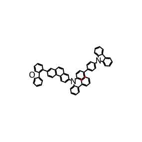 c1ccc(-c2ccccc2N(c2ccc(-c3ccc(-n4c5ccccc5c5ccccc54)cc3)cc2)c2ccc3c(ccc4cc(-c5cccc6oc7ccccc7c56)ccc43)c2)cc1